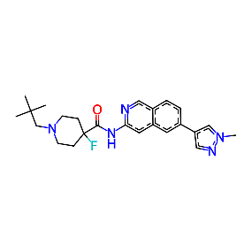 Cn1cc(-c2ccc3cnc(NC(=O)C4(F)CCN(CC(C)(C)C)CC4)cc3c2)cn1